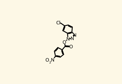 O=C(On1nnc2ccc(Cl)cc21)c1ccc([N+](=O)[O-])cc1